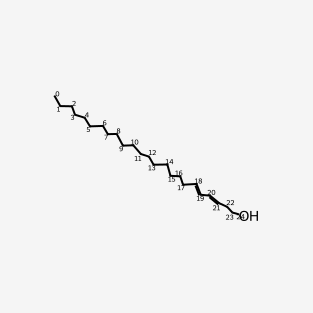 CCCCCCCCCCCCCCCCCC/C=C/C=C/CCO